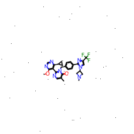 COc1ncnc(C2CC2)c1-c1ncc(C)c(=O)n1Cc1ccc(-c2nc(C(F)(F)F)cn2C2CN(C)C2)cc1